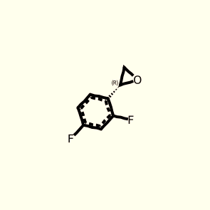 Fc1ccc([C@@H]2CO2)c(F)c1